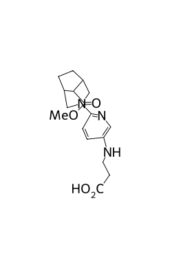 COC(=O)C1C2CCC1CN(c1ccc(NCCC(=O)O)cn1)C2